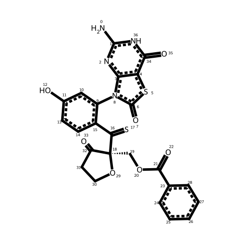 Nc1nc2c(sc(=O)n2-c2cc(O)ccc2C(=S)[C@@]2(COC(=O)c3ccccc3)OCCC2=O)c(=O)[nH]1